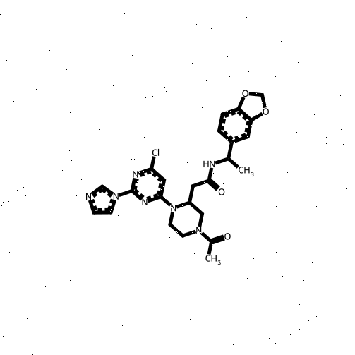 CC(=O)N1CCN(c2cc(Cl)nc(-n3ccnc3)n2)C(CC(=O)NC(C)c2ccc3c(c2)OCO3)C1